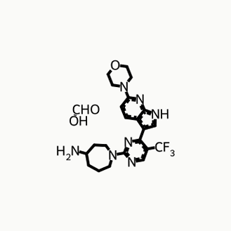 NC1CCCN(c2ncc(C(F)(F)F)c(-c3c[nH]c4nc(N5CCOCC5)ccc34)n2)CC1.O=CO